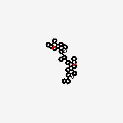 c1ccc(-c2c3ccccc3c(-c3ccc(-c4ccc(-c5ccc(-c6c7ccccc7c(-c7cccc8oc9c(-c%10cccc%11ccccc%10%11)cccc9c78)c7ccccc67)c(-c6cccc7ccccc67)c5)c5ccccc45)c4oc5ccccc5c34)c3ccccc23)c(-c2cccc3ccccc23)c1